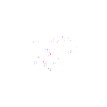 NCC[C@H](O)C(=O)N[C@@H]1CC(N)[C@@H](O[C@H]2OC(CN)[C@@H](O)CC2N)C(F)C1OC1O[C@H](CO)C(O)C(NC(N)NC[C@H]2CCNC2)[C@H]1O